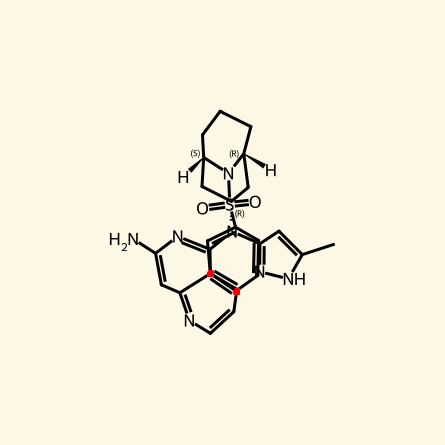 Cc1cc(N(c2nc(N)cc3ncccc23)[C@H]2C[C@H]3CCC[C@@H](C2)N3S(=O)(=O)c2ccccc2)n[nH]1